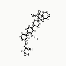 COC(=O)C1(S(=O)(=O)N2CCC(c3ccc(-c4cccc(OCC(O)CO)c4)c(C)c3)CC2)CCOCC1